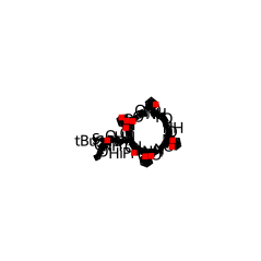 C=CCOC(=O)N[C@@H](CSSC(C)(C)C)C(=O)NCCCC[C@@H]1NC(=O)[C@H](Cc2ccccc2)N(C)C(=O)COC(=O)[C@H](Cc2ccccc2)NC(=O)[C@H](C)N(C)C(=O)[C@H](C)NC(=O)[C@H](Cc2ccccc2)N(C)C(=O)CN(C)C(=O)[C@H](Cc2ccccc2)NC(=O)C(CC(C)C)N(C)C1=O